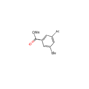 COC(=O)c1cc(C(C)=O)cc(C(C)(C)C)c1